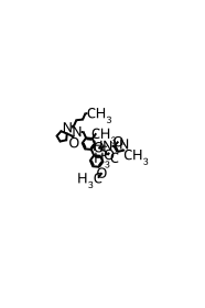 CCCCC1=NC2(CCCC2)C(=O)N1Cc1ccc(-c2ccc(OC)cc2S(=O)(=O)Nc2onc(C)c2C)cc1C